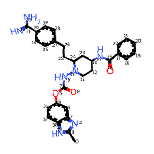 Cc1nc2cc(OC(=O)NN3CCC(NC(=O)c4ccccc4)CC3CCc3ccc(C(=N)N)cc3)ccc2[nH]1